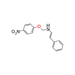 C[SiH](C=Cc1ccccc1)COc1ccc([N+](=O)[O-])cc1